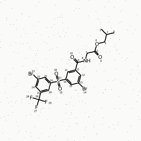 CC(C)COC(=O)CNC(=O)c1cc(Br)cc(S(=O)(=O)c2cc(Br)cc(C(F)(F)F)c2)c1